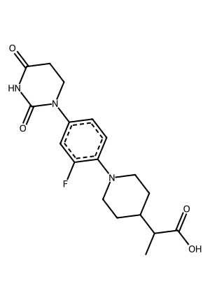 CC(C(=O)O)C1CCN(c2ccc(N3CCC(=O)NC3=O)cc2F)CC1